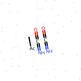 CC(C)=O.N=C=O.N=C=O